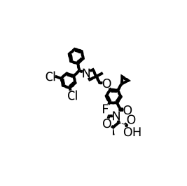 C[C@H]1OCN(C(=O)c2cc(C3CC3)c(OCC3(C)CN(C(c4ccccc4)c4cc(Cl)cc(Cl)c4)C3)cc2F)[C@@H]1C(=O)O